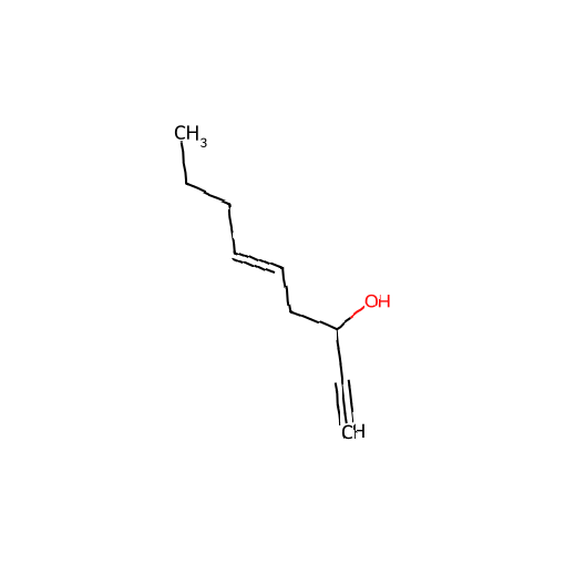 C#CC(O)CC=CCCC